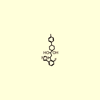 Cc1ccc(C2CCC(O)(C(O)CC3c4c(F)cccc4-c4cncn43)CC2)cc1